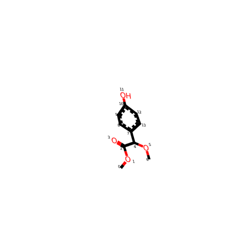 COC(=O)C(OC)c1ccc(O)cc1